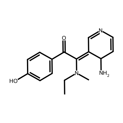 CCN(C)/C(C(=O)c1ccc(O)cc1)=C1/C=NC=CC1N